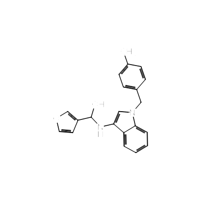 Cc1ccc(Cn2cc(NC(O)c3ccoc3)c3ccccc32)cc1